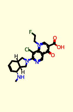 CN[C@@H]1C=CC[C@@H]2CN(c3ncc4c(=O)c(C(=O)O)cn(CCF)c4c3Cl)C[C@@H]21